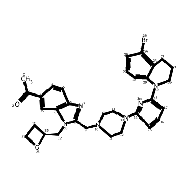 CC(=O)c1ccc2nc(CN3CCN(c4cccc(N5CCCc6c(Br)cccc65)n4)CC3)n(C[C@@H]3CCO3)c2c1